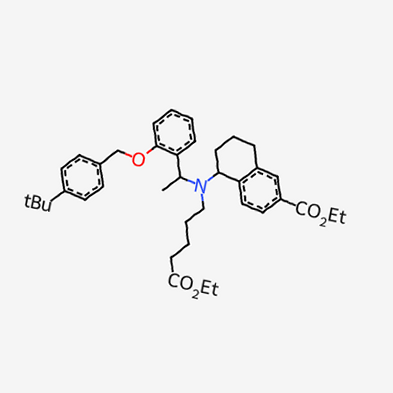 CCOC(=O)CCCCN(C(C)c1ccccc1OCc1ccc(C(C)(C)C)cc1)C1CCCc2cc(C(=O)OCC)ccc21